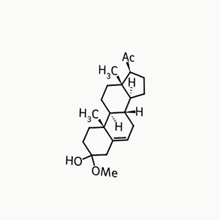 COC1(O)CC[C@@]2(C)C(=CC[C@H]3[C@@H]4CC[C@H](C(C)=O)[C@@]4(C)CC[C@@H]32)C1